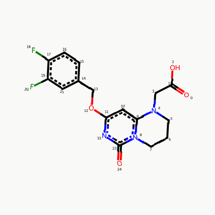 O=C(O)CN1CCCn2c1cc(OCc1ccc(F)c(F)c1)nc2=O